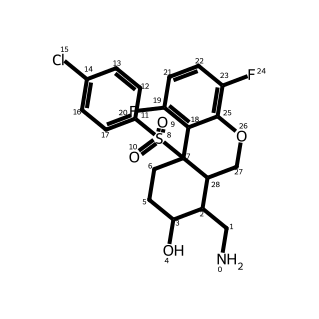 NCC1C(O)CCC2(S(=O)(=O)c3ccc(Cl)cc3)c3c(F)ccc(F)c3OCC12